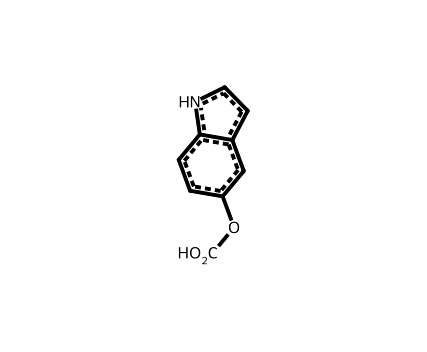 O=C(O)Oc1ccc2[nH]ccc2c1